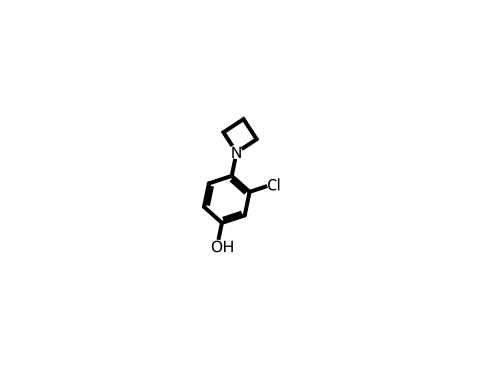 Oc1ccc(N2CCC2)c(Cl)c1